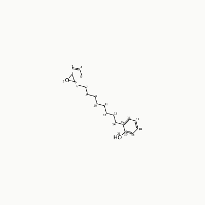 C1CO1.C=CC.CCCCCCCCCc1ccccc1O